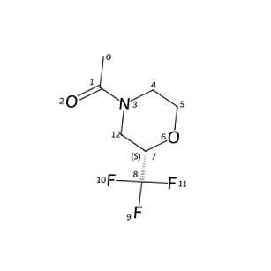 CC(=O)N1CCO[C@H](C(F)(F)F)C1